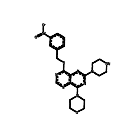 O=[N+]([O-])c1cccc(CSc2ncnc3c(N4CCOCC4)nc(N4CCNCC4)nc23)c1